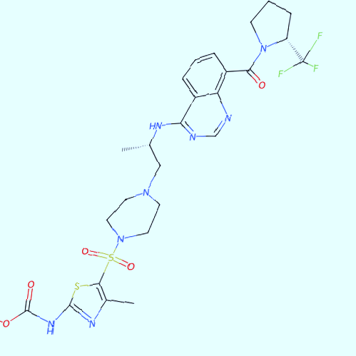 COC(=O)Nc1nc(C)c(S(=O)(=O)N2CCN(C[C@H](C)Nc3ncnc4c(C(=O)N5CCC[C@@H]5C(F)(F)F)cccc34)CC2)s1